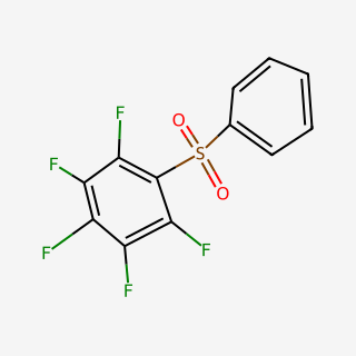 O=S(=O)(c1ccccc1)c1c(F)c(F)c(F)c(F)c1F